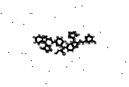 CCC(=O)N(c1ccc2nc(SCc3cc(C)ccn3)n(-c3nnnn3C)c2c1)c1cccc(CSc2nc3ccccc3n2-c2nnnn2C)n1